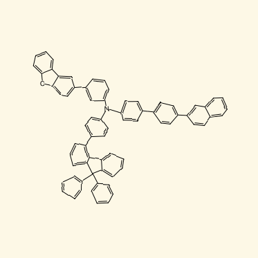 c1ccc(C2(c3ccccc3)c3ccccc3-c3c(-c4ccc(N(c5ccc(-c6ccc(-c7ccc8ccccc8c7)cc6)cc5)c5cccc(-c6ccc7oc8ccccc8c7c6)c5)cc4)cccc32)cc1